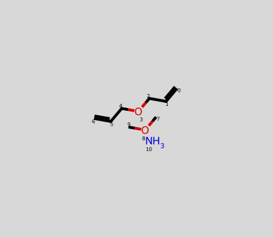 C=CCOCC=C.COC.N